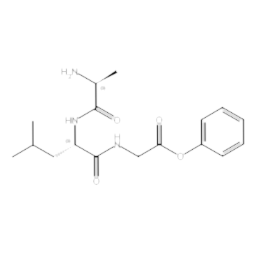 CC(C)C[C@H](NC(=O)[C@H](C)N)C(=O)NCC(=O)Oc1ccccc1